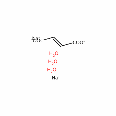 O.O.O.O=C([O-])C=CC(=O)[O-].[Na+].[Na+]